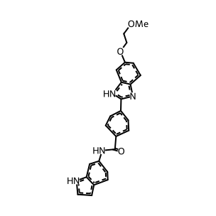 COCCOc1ccc2nc(-c3ccc(C(=O)Nc4ccc5cc[nH]c5c4)cc3)[nH]c2c1